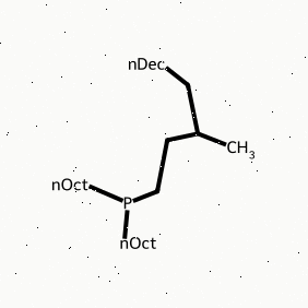 CCCCCCCCCCCC(C)CCP(CCCCCCCC)CCCCCCCC